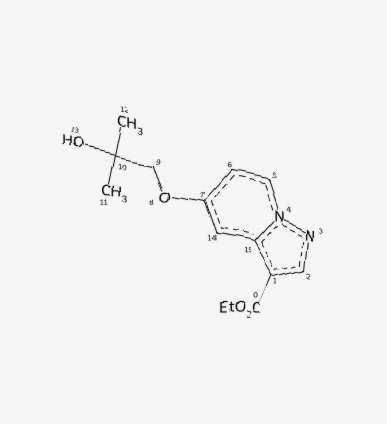 CCOC(=O)c1cnn2ccc(OCC(C)(C)O)cc12